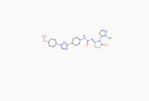 CC(C)n1nccc1N1C(=O)CS/C1=N\C(=O)Nc1ccc(-c2ncn(-c3ccc(OC(F)(F)F)cc3)n2)cc1